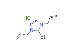 C=CCN1C=CN(CC=C)C1CC.Cl